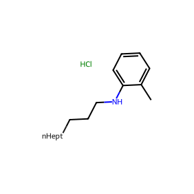 CCCCCCCCCCNc1ccccc1C.Cl